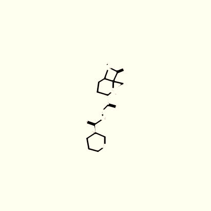 O=C(NNC(=O)[C@@H]1CCC2N(O)C(=O)C23C[N@@]13)[C@@H]1CCCNC1